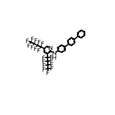 FC(F)(F)C(F)(F)C(F)(F)C(F)(F)c1cnc(Nc2ccc(-c3ccc(-c4ccccc4)cc3)cc2)c(C(F)(F)C(F)(F)C(F)(F)C(F)(F)F)c1